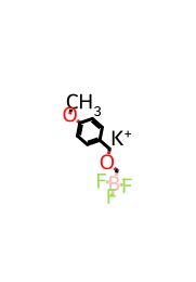 COc1ccc(COC[B-](F)(F)F)cc1.[K+]